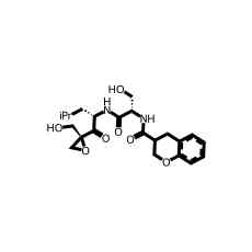 CC(C)C[C@H](NC(=O)[C@H](CO)NC(=O)C1COc2ccccc2C1)C(=O)[C@@]1(CO)CO1